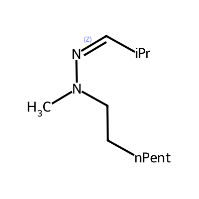 CCCCCCCN(C)/N=C\C(C)C